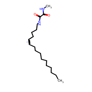 CCCCCCCCCC/C=C\CCCCNC(=O)C(=O)NC